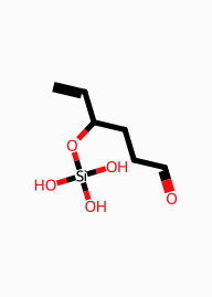 C=CC(CCC=O)O[Si](O)(O)O